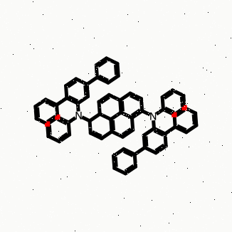 C1=CC(N(c2ccccc2)c2cc(-c3ccccc3)ccc2-c2ccccc2)C2C=Cc3ccc(N(c4ccccc4)c4cc(-c5ccccc5)ccc4-c4ccccc4)c4ccc1c2c34